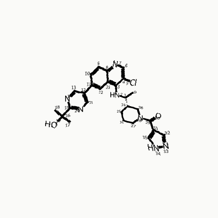 CC(Nc1c(Cl)cnc2ccc(-c3cnc(C(C)(C)O)nc3)cc12)[C@H]1CCCN(C(=O)c2cn[nH]c2)C1